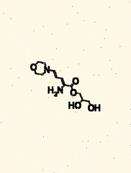 N/C(=C\C=C\N1CCOCC1)C(=O)OCC(O)CO